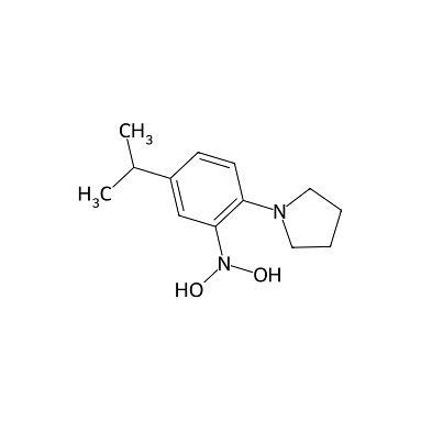 CC(C)c1ccc(N2CCCC2)c(N(O)O)c1